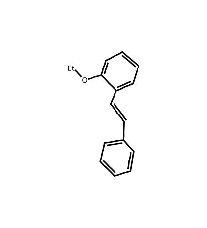 [CH2]COc1ccccc1C=Cc1ccccc1